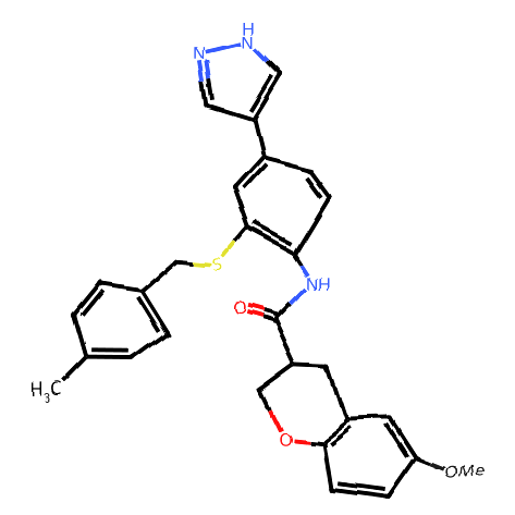 COc1ccc2c(c1)CC(C(=O)Nc1ccc(-c3cn[nH]c3)cc1SCc1ccc(C)cc1)CO2